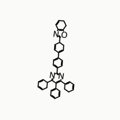 C1=CCCC(c2nc(-c3ccc(C4=CCC(c5nc6c(o5)CCC=C6)C=C4)cc3)nc(C3C=CC=CC3)c2-c2ccccc2)=C1